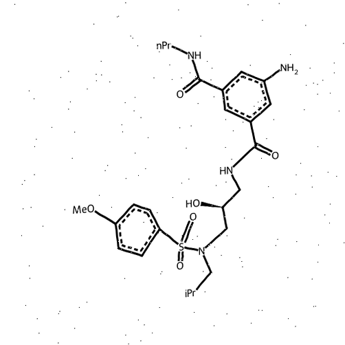 CCCNC(=O)c1cc(N)cc(C(=O)NC[C@H](O)CN(CC(C)C)S(=O)(=O)c2ccc(OC)cc2)c1